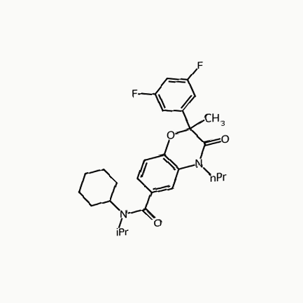 CCCN1C(=O)C(C)(c2cc(F)cc(F)c2)Oc2ccc(C(=O)N(C(C)C)C3CCCCC3)cc21